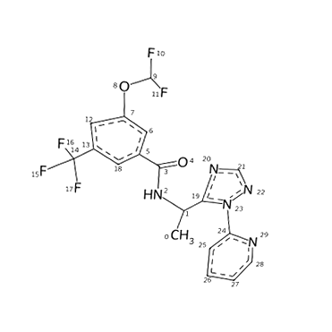 CC(NC(=O)c1cc(OC(F)F)cc(C(F)(F)F)c1)c1ncnn1-c1ccccn1